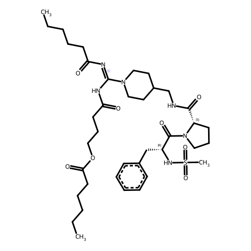 CCCCCC(=O)/N=C(\NC(=O)CCCOC(=O)CCCCC)N1CCC(CNC(=O)[C@@H]2CCCN2C(=O)[C@@H](Cc2ccccc2)NS(C)(=O)=O)CC1